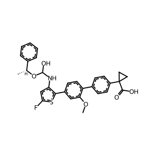 COc1cc(-c2sc(F)cc2NC(O)O[C@H](C)c2ccccc2)ccc1-c1ccc(C2(C(=O)O)CC2)cc1